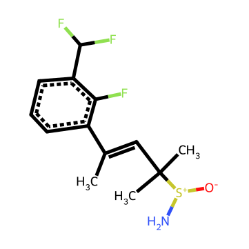 CC(=CC(C)(C)[S+](N)[O-])c1cccc(C(F)F)c1F